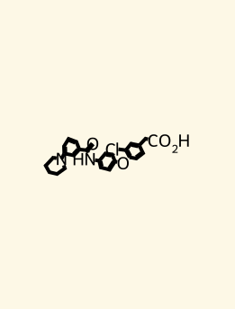 O=C(O)Cc1ccc(Oc2ccc(NC(=O)c3cccc(N4CCCCC4)c3)cc2)c(Cl)c1